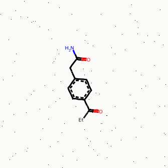 CCC(=O)c1ccc(CC(N)=O)cc1